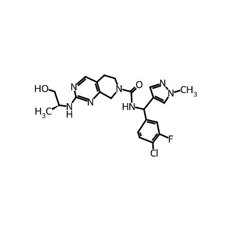 C[C@@H](CO)Nc1ncc2c(n1)CN(C(=O)NC(c1ccc(Cl)c(F)c1)c1cnn(C)c1)CC2